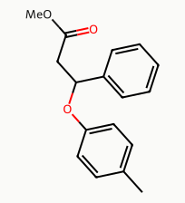 COC(=O)CC(Oc1ccc(C)cc1)c1ccccc1